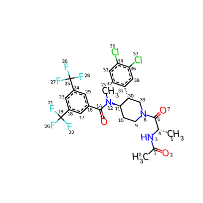 CC(=O)N[C@@H](C)C(=O)N1CC[C@@H](N(C)C(=O)c2cc(C(F)(F)F)cc(C(F)(F)F)c2)[C@H](c2ccc(Cl)c(Cl)c2)C1